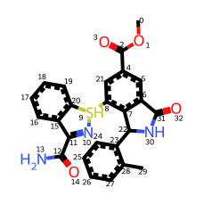 COC(=O)c1cc2c(c([SH]3N=C(C(N)=O)c4ccccc43)c1)C(c1ccccc1C)NC2=O